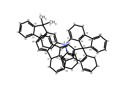 CC1(C)C2=C(CCC(N(C3=CCCC=C3)C3=CCCC4=C3C3(C5=C(C=CCC5)c5c3cc3c6c5C=CCC6c5ccccc5-3)c3ccccc34)=C2)c2ccccc21